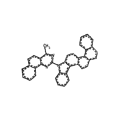 Cc1nc(-n2c3ccccc3c3c4ccc5ccc6ccccc6c5c4ccc32)nc2c1ccc1ccccc12